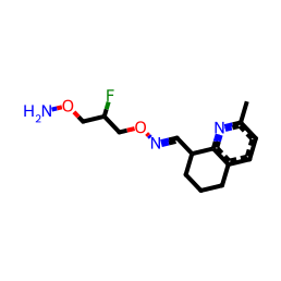 Cc1ccc2c(n1)C(C=NOCC(F)CON)CCC2